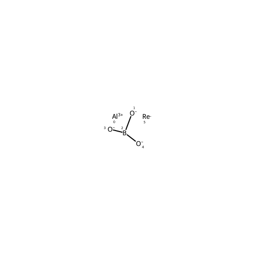 [Al+3].[O-]B([O-])[O-].[Re]